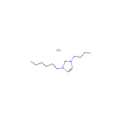 CCCCCCN1C=CN(CCCC)C1.Cl